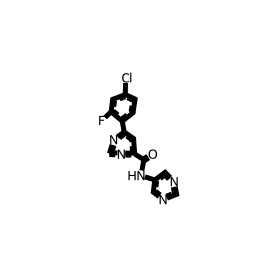 O=C(Nc1cncnc1)c1cc(-c2ccc(Cl)cc2F)ncn1